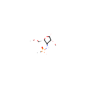 B[C@@H]1O[C@H](COC(C)C)C(NP(=O)(O)C(C)C)[C@@H]1OCC